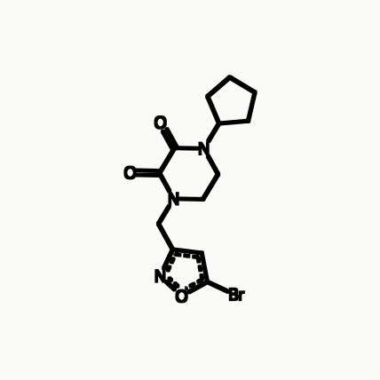 O=C1C(=O)N(C2CCCC2)CCN1Cc1cc(Br)on1